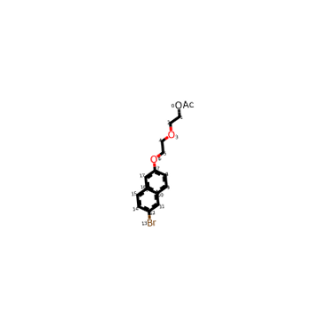 CC(=O)OCCOCCOc1ccc2cc(Br)ccc2c1